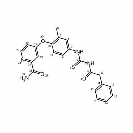 Cc1cc(NC(=S)NC(=O)Cc2ccccc2)ccc1Oc1ccnc(C(N)=O)c1